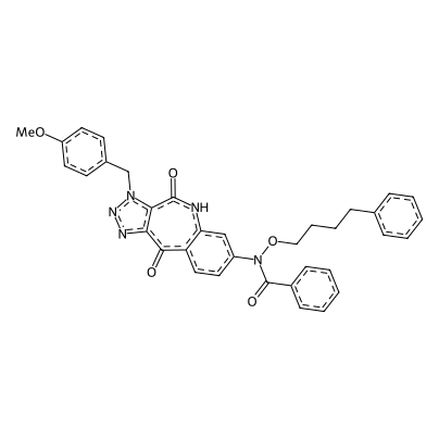 COc1ccc(Cn2nnc3c(=O)c4ccc(N(OCCCCc5ccccc5)C(=O)c5ccccc5)cc4[nH]c(=O)c32)cc1